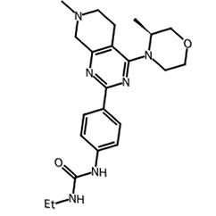 CCNC(=O)Nc1ccc(-c2nc3c(c(N4CCOC[C@@H]4C)n2)CCN(C)C3)cc1